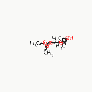 CCCCOC(COCCCCCOc1c(C)cc(O)cc1CC)OCCCC